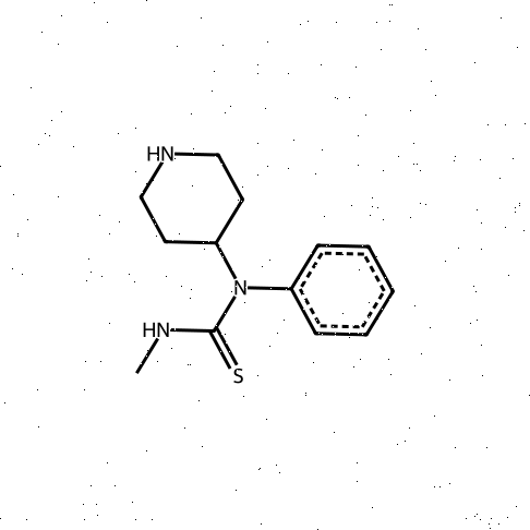 CNC(=S)N(c1ccccc1)C1CCNCC1